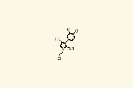 N#Cc1c(-c2ccc(Cl)c(Cl)c2)c(C(F)(F)F)cn1CCCl